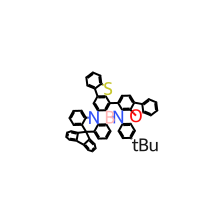 CC(C)(C)c1ccc(N2B3c4cccc5c4N(c4ccccc4C54c5ccccc5-c5ccccc54)c4cc5c(sc6ccccc65)c(c43)-c3ccc4c(oc5ccccc54)c32)cc1